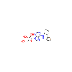 OC[C@H]1O[C@@H](n2cnc3c(N[C@H]4CC=CC[C@@H]4c4cccs4)ncnc32)[C@H](O)[C@@H]1O